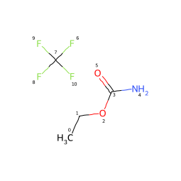 CCOC(N)=O.FC(F)(F)F